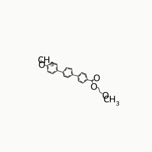 COCCOC(=O)c1ccc(-c2ccc(-c3ccc(OC)cc3)cc2)cc1